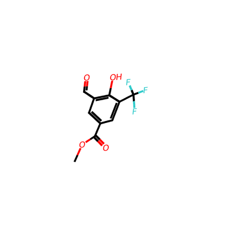 COC(=O)c1cc(C=O)c(O)c(C(F)(F)F)c1